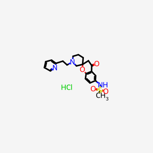 CS(=O)(=O)Nc1ccc2c(c1)C(=O)CC1(CCCN(CCc3ccccn3)C1)O2.Cl